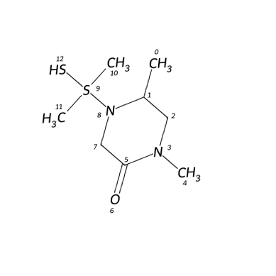 CC1CN(C)C(=O)CN1S(C)(C)S